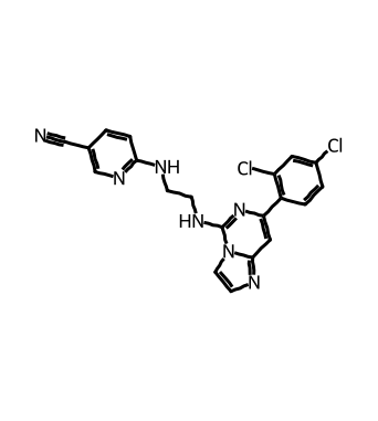 N#Cc1ccc(NCCNc2nc(-c3ccc(Cl)cc3Cl)cc3nccn23)nc1